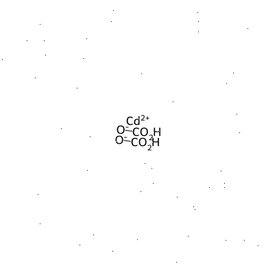 O=C([O-])O.O=C([O-])O.[Cd+2]